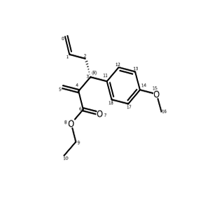 C=CC[C@@H](C(=C)C(=O)OCC)c1ccc(OC)cc1